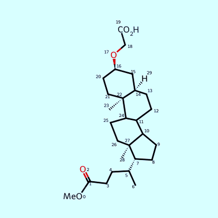 COC(=O)CCC(C)[C@H]1CCC2C3CC[C@@H]4C[C@H](OCC(=O)O)CC[C@]4(C)C3CC[C@@]21C